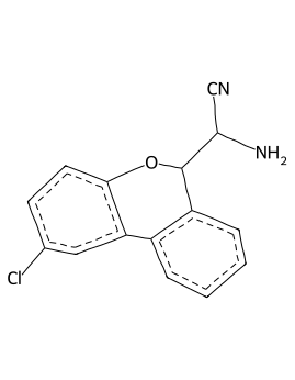 N#CC(N)C1Oc2ccc(Cl)cc2-c2ccccc21